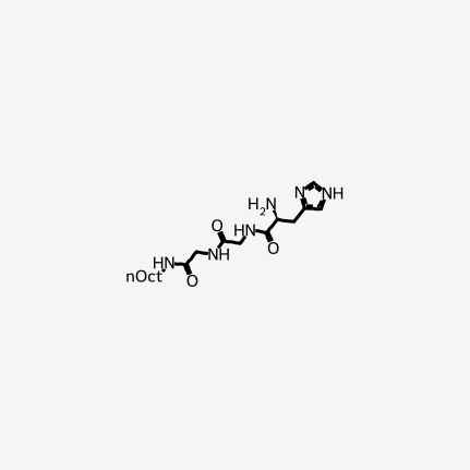 CCCCCCCCNC(=O)CNC(=O)CNC(=O)[C@@H](N)Cc1c[nH]cn1